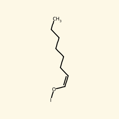 CCCCCC/C=C\OI